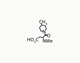 CN[C@@H](CC(=O)O)C(=O)N1CCC(C)CC1